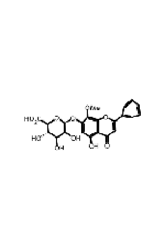 COc1c(O[C@@H]2OC(C(=O)O)[C@@H](O)[C@H](O)C2O)cc(O)c2c(=O)cc(-c3ccccc3)oc12